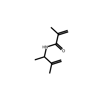 C=C(C)C(=O)NC(C)C(=C)C